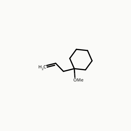 C=CCC1(OC)CCCCC1